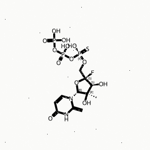 C=C1NC(=O)C=CN1[C@@H]1O[C@](F)(CO[P@@](O)(=S)OP(=O)(O)OP(=O)(O)O)[C@@H](O)[C@@]1(C)O